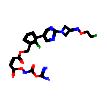 N=C(N)OC(=O)NOC(=O)/C=C\C(=O)OCc1cccc(-c2cnc(N3CC(=NOCCF)C3)nc2)c1F